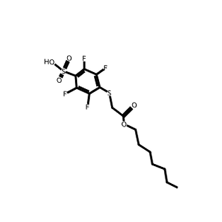 CCCCCCCOC(=O)CSc1c(F)c(F)c(S(=O)(=O)O)c(F)c1F